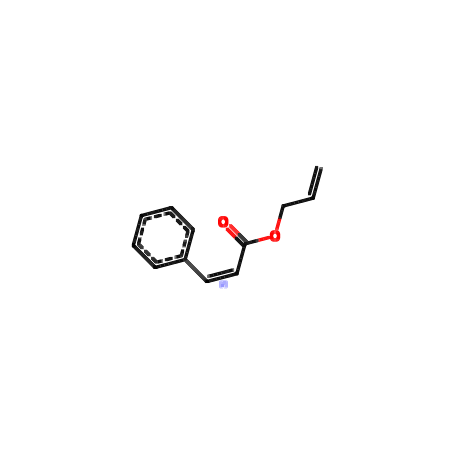 C=CCOC(=O)/C=C\c1ccccc1